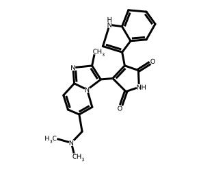 Cc1nc2ccc(CN(C)C)cn2c1C1=C(c2c[nH]c3ccccc23)C(=O)NC1=O